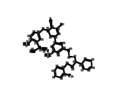 Cc1cc(-c2cc(F)c(=O)n(Cc3ccc(N)c(N(N)O)c3)c2)nc(SCCC(OCc2ccccc2F)c2ccccc2)n1